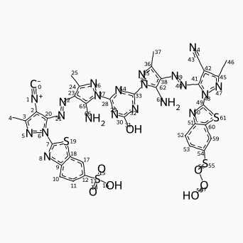 [C-]#[N+]c1c(C)nn(-c2nc3ccc(S(=O)(=O)O)cc3s2)c1N=Nc1c(C)nn(-c2nc(O)nc(-n3nc(C)c(N=Nc4c(C#N)c(C)nn4-c4nc5ccc(SOOO)cc5s4)c3N)n2)c1N